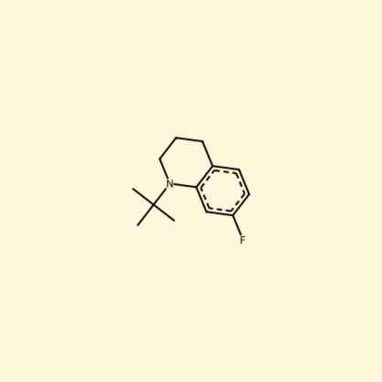 CC(C)(C)N1CCCc2ccc(F)cc21